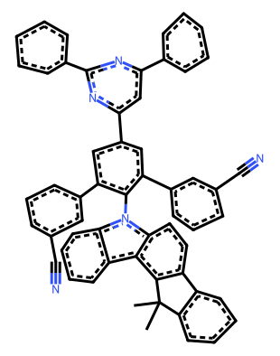 CC1(C)c2ccccc2-c2ccc3c(c21)c1ccccc1n3-c1c(-c2cccc(C#N)c2)cc(-c2cc(-c3ccccc3)nc(-c3ccccc3)n2)cc1-c1cccc(C#N)c1